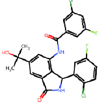 CC(C)(O)c1cc(NC(=O)c2cc(F)cc(Cl)c2)c2c(c1)C(=O)NC2c1cc(F)ccc1Cl